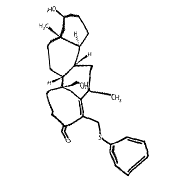 CC1C[C@@H]2[C@@H](CC[C@]3(C)C(O)CC[C@@H]23)[C@@]2(CO)CCC(=O)C(CSc3ccccc3)=C12